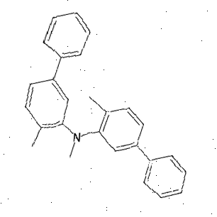 Cc1ccc(-c2ccccc2)cc1N(C)c1cc(-c2ccccc2)ccc1C